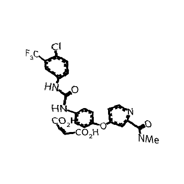 CNC(=O)c1cc(Oc2ccc(NC(=O)Nc3ccc(Cl)c(C(F)(F)F)c3)cc2)ccn1.O=C(O)/C=C\C(=O)O